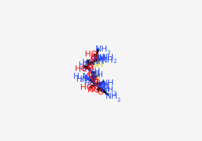 CSCC[C@H](NC(=O)[C@H](CCCNC(=N)N)NC(=O)[C@H](CCC(=O)O)NC(=O)[C@H](Cc1c[nH]cn1)NC(=O)[C@@H](NC(=O)[C@@H](N)CCCCN)[C@@H](C)O)C(=O)N[C@@H](C)C(=O)NCC(=O)N[C@H](C(=O)N[C@H](C(=O)N[C@@H](CS)C(=O)N[C@@H](CCCNC(=N)N)C(=O)N[C@@H](CCCCN)C(=O)O)C(C)C)[C@@H](C)O